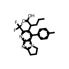 CCCC(C(=O)O)c1c(C(F)(F)F)nc2nc3n(c2c1-c1ccc(C)cc1)CCC3